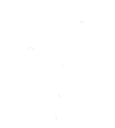 COc1cc(C2=C(c3cn(CCCN4C(=O)C(N)CC4C)c4ccccc34)C(=O)NC2=O)cc(OC)c1OC